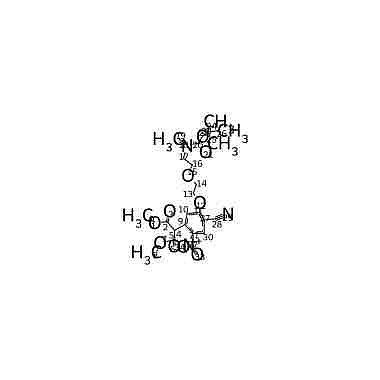 COC(=O)C(C(=O)OC)c1cc(OCCOCCN(C)C(=O)OC(C)(C)C)c(C#N)cc1[N+](=O)[O-]